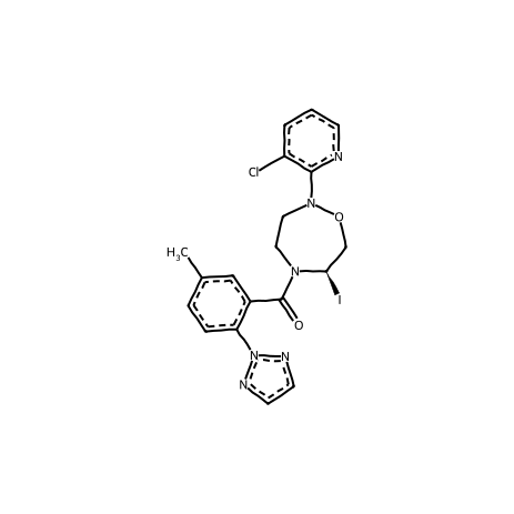 Cc1ccc(-n2nccn2)c(C(=O)N2CCN(c3ncccc3Cl)OC[C@H]2I)c1